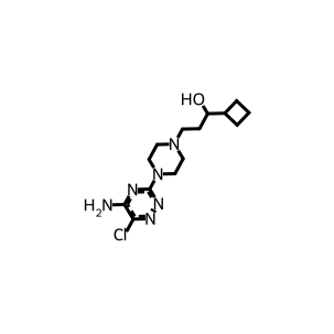 Nc1nc(N2CCN(CCC(O)C3CCC3)CC2)nnc1Cl